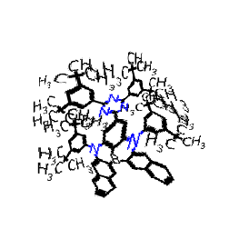 CC(C)(C)c1cc(-c2nc(-c3cc(C(C)(C)C)cc(C(C)(C)C)c3)nc(-c3cc4c5c(c3)N(c3cc(C(C)(C)C)cc(C(C)(C)C)c3)c3cc6ccccc6cc3B5c3cc5ccccc5cc3N4c3cc(C(C)(C)C)cc(C(C)(C)C)c3)n2)cc(C(C)(C)C)c1